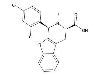 CN1[C@H](c2ccc(Cl)cc2Cl)c2[nH]c3ccccc3c2C[C@@H]1C(=O)O